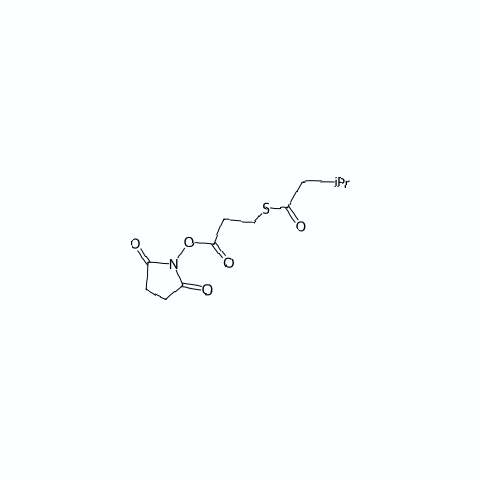 CC(C)CC(=O)SCCC(=O)ON1C(=O)CCC1=O